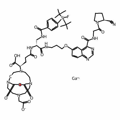 CC(C)(C)[Si](F)(c1ccc(C(=O)NC[C@@H](NC(=O)CC[C@H](C(=O)O)N2CCN3CCN(CC(=O)[O-])CCN(CC2)CC(=O)OOC(=O)C3)C(=O)NCCCOc2ccc3ncnc(C(=O)NCC(=O)N4CCC[C@H]4C#N)c3c2)cc1)C(C)(C)C.[Ga+]